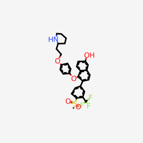 CS(=O)(=O)c1ccc(-c2ccc3cc(O)ccc3c2Oc2ccc(OCCC3CCCCN3)cc2)cc1C(F)(F)F